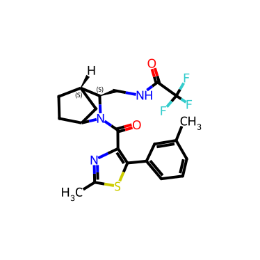 Cc1cccc(-c2sc(C)nc2C(=O)N2C3CC[C@@H](C3)[C@H]2CNC(=O)C(F)(F)F)c1